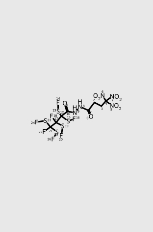 O=C(CCC([N+](=O)[O-])([N+](=O)[O-])[N+](=O)[O-])NNC(=O)C(SF)(SF)C(F)(SF)C(F)(SF)SF